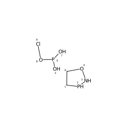 C1CPNO1.OP(O)OCl